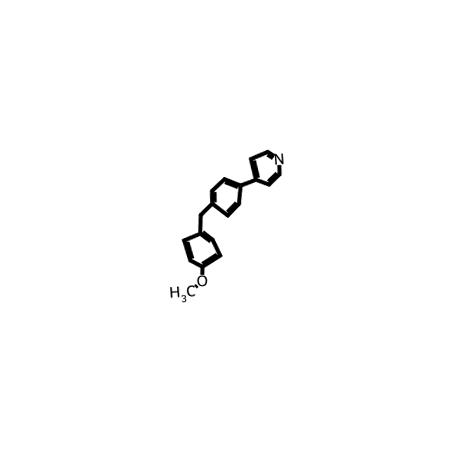 COc1ccc(Cc2ccc(-c3ccncc3)cc2)cc1